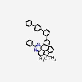 CC1(C)c2ccccc2-c2c1ccc1nc(-c3ccccc3)nc(-c3cccc(-c4cccc(-c5ccc(-c6ccccc6)cc5)c4)c3)c21